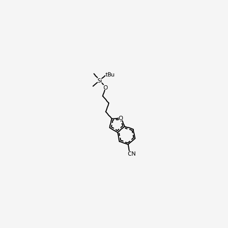 CC(C)(C)[Si](C)(C)OCCCc1cc2cc(C#N)ccc2o1